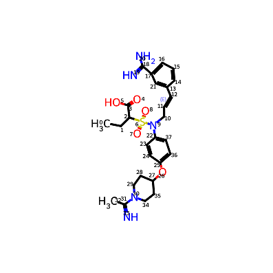 CCC(C(=O)O)S(=O)(=O)N(C/C=C/c1cccc(C(=N)N)c1)c1ccc(OC2CCN(C(C)=N)CC2)cc1